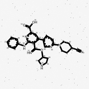 N#CC1CCN(c2ccc(-c3cc(C(=O)O)nc(Nc4ccccc4)c3C(=N)OC3CCNC3)cn2)CC1